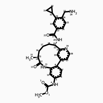 COC(=O)Nc1ccc2c(c1)NC(=O)[C@@H](C)CCC[C@H](NC(=O)c1ccc(CN)c(C3CC3)c1)c1cc-2ccn1